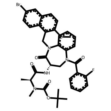 COc1ccc2cc(Br)ccc2c1CN1C(=O)[C@@H](NC(=O)[C@H](C)N(C)C(=O)OC(C)(C)C)CN(C(=O)c2ccccc2F)c2ccccc21